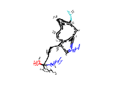 CC(N)(O)Cc1c[nH]c2cc(F)ccc12